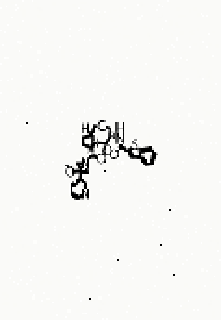 COC1(c2cccnc2)CN(C(=O)[C@@H]2CC[C@@H]3CCC[C@H](NC(=O)c4cc5ccccc5s4)C(=O)N32)C1